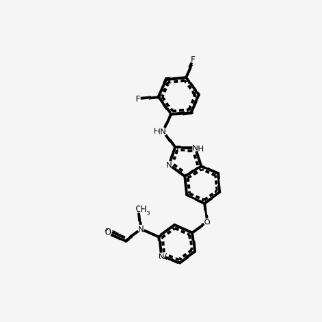 CN(C=O)c1cc(Oc2ccc3[nH]c(Nc4ccc(F)cc4F)nc3c2)ccn1